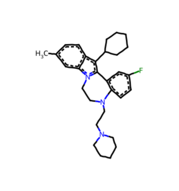 Cc1ccc2c(C3CCCCC3)c3n(c2c1)CCN(CCN1CCCCC1)c1ccc(F)cc1-3